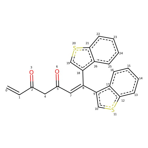 C=CC(=O)CC(=O)C=C(c1csc2ccccc12)c1csc2ccccc12